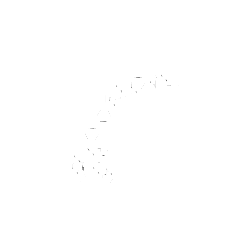 O=C1CCN(c2ccc(CN3C[C@@H]4C[C@H]3CN4c3ccc(-c4cc(F)c5c(c4)C(=O)N(C(C(=O)Nc4nccs4)c4ncn6c4CCC6)C5)cc3)nc2)C(=O)N1